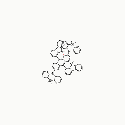 CC1(C)c2ccccc2-c2cccc(-c3c4ccc(N5c6ccccc6[Si](C)(C)c6ccccc65)cc4c(-c4cccc5c4C(C)(C)c4ccccc4-5)c4ccc(N5c6ccccc6[Si](C)(C)c6ccccc65)cc34)c21